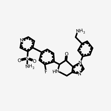 NCc1cccc(-n2cnc3c2C(=O)C(c2ccc(-c4ccncc4S(N)(=O)=O)cc2F)NC3)c1